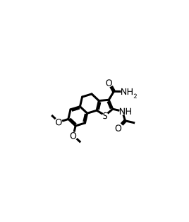 COc1cc2c(cc1OC)-c1sc(NC(C)=O)c(C(N)=O)c1CC2